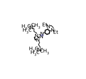 CCN1CCN(CC)c2cc(/N=N/c3n(CCC[N+](C)(C)C)cc[n+]3CCC[N+](C)(C)C)ccc21